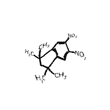 CC1(C)CC(C)(C)c2cc([N+](=O)[O-])c([N+](=O)[O-])cc21